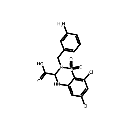 Nc1cccc(CN2C(C(=O)O)Nc3cc(Cl)cc(Cl)c3S2(=O)=O)c1